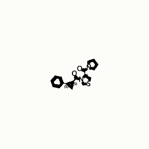 O=C([C@@H]1CSCN1C(=O)[C@H]1C[C@@H]1c1ccccc1)N1CCCC1